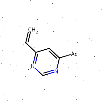 C=Cc1cc(C(C)=O)ncn1